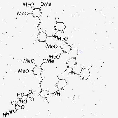 COc1cc(/C=C\c2ccc(C)c(NC3=NCCC(C)S3)c2)cc(OC)c1OC.COc1cc(C=Cc2ccc(C)c(NC3=NCCC(C)S3)c2)cc(OC)c1OC.COc1cc(C=Cc2ccc(C)c(NC3=NCCC(C)S3)c2)cc(OC)c1OC.O=P(O)(O)O.O=P([O-])([O-])[O-].[H+].[H+].[H+]